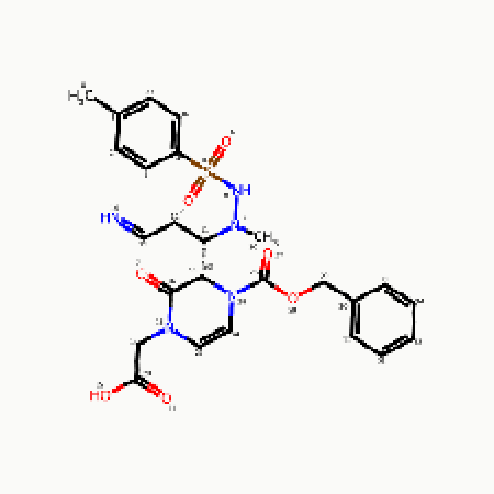 Cc1ccc(S(=O)(=O)NN(C)C(CC=N)[C@H]2C(=O)N(CC(=O)O)C=CN2C(=O)OCc2ccccc2)cc1